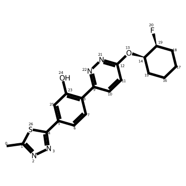 Cc1nnc(-c2ccc(-c3ccc(O[C@@H]4CCCC[C@@H]4F)nn3)c(O)c2)s1